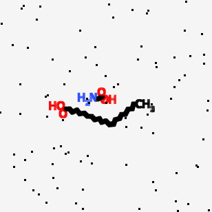 CCCCCCCC/C=C\CCCCCCCCCCCC(=O)O.NCC(=O)O